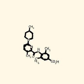 Cc1ccc(N2CCC(C)CC2)nc1C(=O)Nc1c(C)cc(C(=O)O)cc1C